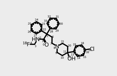 O=C(NC[18F])C(CCN1CCC(O)(c2ccc(Cl)cc2)CC1)(c1ccccc1)c1ccccc1